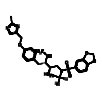 [2H]C([2H])(C(C)C)N(C[C@@H](O)[C@H](Cc1ccc(OCc2csc(C)n2)cc1)NC(=O)O)S(=O)(=O)c1ccc2c(c1)OCO2